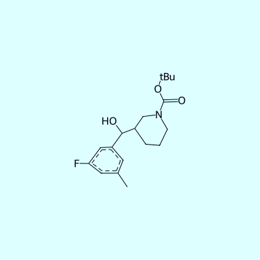 Cc1cc(F)cc(C(O)C2CCCN(C(=O)OC(C)(C)C)C2)c1